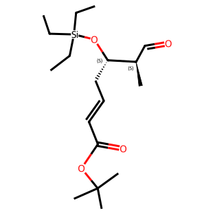 CC[Si](CC)(CC)O[C@@H](CC=CC(=O)OC(C)(C)C)[C@H](C)C=O